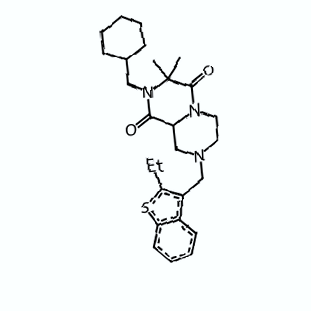 CCc1sc2ccccc2c1CN1CCN2C(=O)C(C)(C)N(CC3CCCCC3)C(=O)C2C1